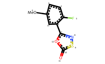 COc1ccc(F)c(-c2nsc(=O)o2)c1